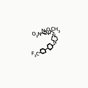 C[C@]1(CN2CCN(Cc3ccc(-c4ccc(C(F)(F)F)cc4)cc3)CC2)Cn2cc([N+](=O)[O-])nc2O1